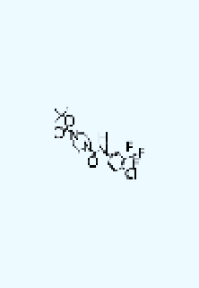 CC1CN(C(=O)OC(C)(C)C)CCN1C(=O)Nc1ccc(Cl)c(C(F)(F)F)c1